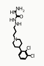 NNC(=O)NNCCCN1CCC(c2cccc(Cl)c2Cl)CC1